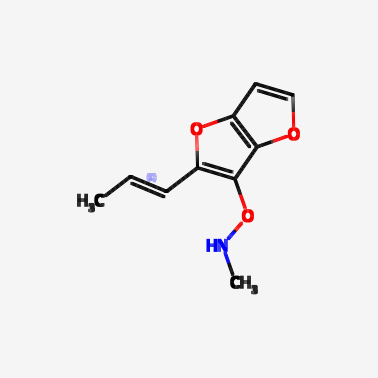 C/C=C/c1oc2ccoc2c1ONC